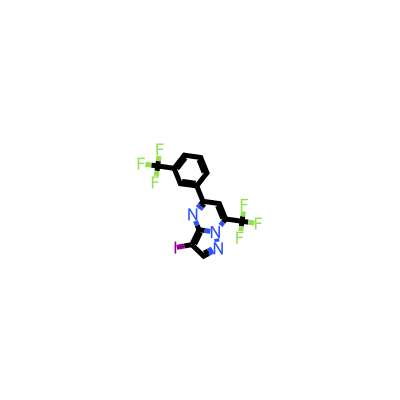 FC(F)(F)c1cccc(-c2cc(C(F)(F)F)n3ncc(I)c3n2)c1